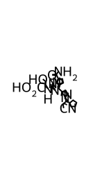 N#CCC(C1CCCC1)n1cc(-c2nc(NC(CO)C(=O)O)nn3c(C(N)=O)ccc23)cn1